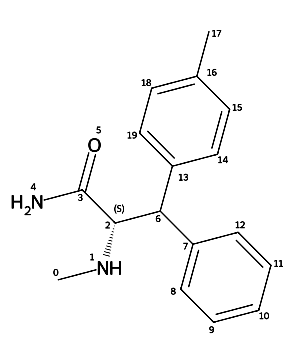 CN[C@H](C(N)=O)C(c1ccccc1)c1ccc(C)cc1